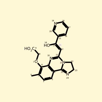 Cc1ccc2c(c1OCC(=O)O)N=C(/C=C(\O)c1cccnc1)N1CCN=C21